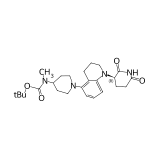 CN(C(=O)OC(C)(C)C)C1CCN(c2cccc3c2CCCN3[C@@H]2CCC(=O)NC2=O)CC1